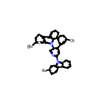 CC(C)(C)c1ccc2c3ccccc3n(-c3cc(-c4cccc(C#N)c4)c(-n4c5ccccc5c5ccc(C(C)(C)C)cc54)cn3)c2c1